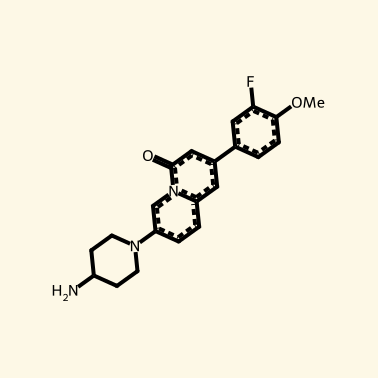 COc1ccc(-c2cc(=O)n3cc(N4CCC(N)CC4)ccc3c2)cc1F